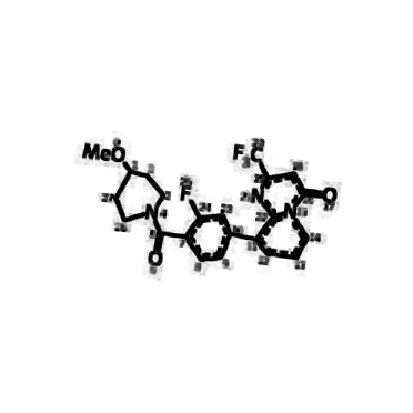 COC1CCN(C(=O)c2ccc(-c3cccn4c(=O)cc(C(F)(F)F)nc34)cc2F)CC1